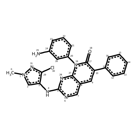 Cn1cc(Nc2ncc3cc(-c4ccccc4)c(=O)n(-c4cccc(N)c4)c3n2)c(Cl)n1